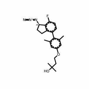 Cc1cc(OCCC(C)(C)O)cc(C)c1-c1ccc(F)c2c1CC[C@H]2N=[N+]=[N-]